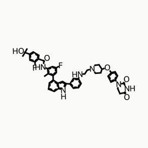 Cc1c(NC(=O)c2ccc(C(C)(C)O)cc2F)cc(F)cc1-c1cccc2[nH]c(-c3cccc(NCCN4CCC(Oc5ccc(N6CCC(=O)NC6=O)cc5)CC4)c3)cc12